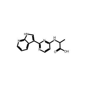 CC(Nc1ccnc(-c2c[nH]c3ncccc23)n1)C(=O)O